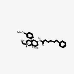 COc1cccc([C@]23CC[N@@+](C)(CC(C)C)CC2(OC)CC[C@@H](NC(=O)CCCCCc2ccccc2)C3)c1